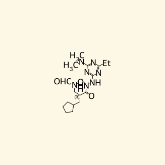 CCc1nc(NNC(=O)[C@H](CC2CCCC2)CN(O)C=O)nc(N(C)C)n1